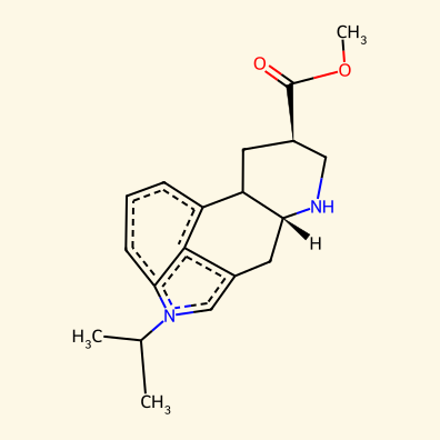 COC(=O)[C@H]1CN[C@@H]2Cc3cn(C(C)C)c4cccc(c34)C2C1